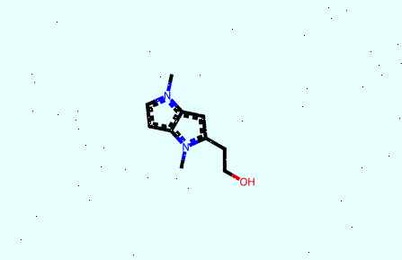 Cn1ccc2c1cc(CCO)n2C